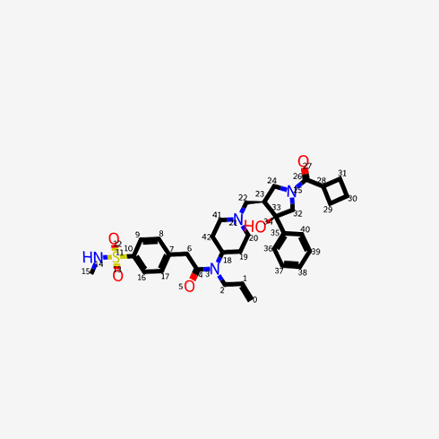 C=CCN(C(=O)Cc1ccc(S(=O)(=O)NC)cc1)C1CCN(C[C@H]2CN(C(=O)C3CCC3)C[C@]2(O)c2ccccc2)CC1